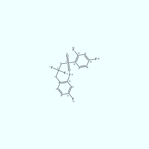 O=S(=O)(CC(F)(F)Cc1ccc(F)cc1F)c1ccc(F)cc1F